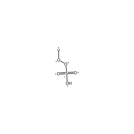 O=S(=O)(O)O[O][V]